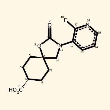 O=C1O[C@]2(CC[C@@H](C(=O)O)CC2)CN1c1cccnc1F